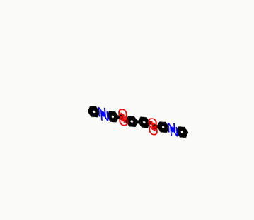 O=C(Oc1ccc(-c2ccc(OC(=O)c3ccc(/N=N/c4ccccc4)cc3)cc2)cc1)c1ccc(/N=N/c2ccccc2)cc1